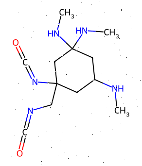 CNC1CC(CN=C=O)(N=C=O)CC(NC)(NC)C1